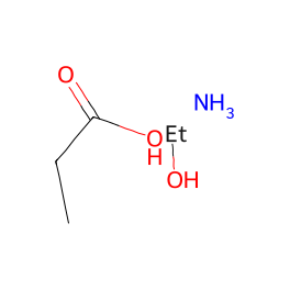 CCC(=O)O.CCO.N